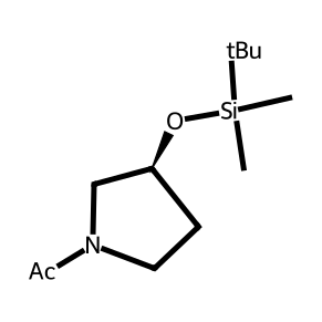 CC(=O)N1CC[C@H](O[Si](C)(C)C(C)(C)C)C1